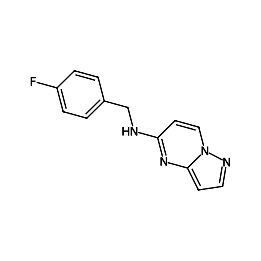 Fc1ccc(CNc2ccn3nccc3n2)cc1